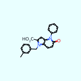 Cc1cccc(Cn2c(C(=O)O)cc3c2ccc(=O)n3-c2ccccc2)c1